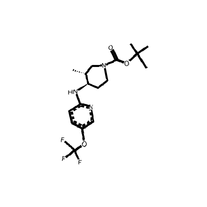 C[C@@H]1CN(C(=O)OC(C)(C)C)CC[C@H]1Nc1ccc(OC(F)(F)F)cn1